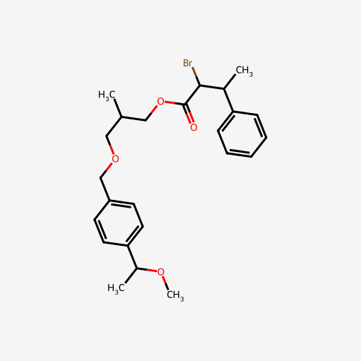 COC(C)c1ccc(COCC(C)COC(=O)C(Br)C(C)c2ccccc2)cc1